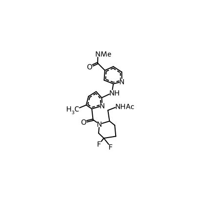 CNC(=O)c1ccnc(Nc2ccc(C)c(C(=O)N3CC(F)(F)CCC3CNC(C)=O)n2)c1